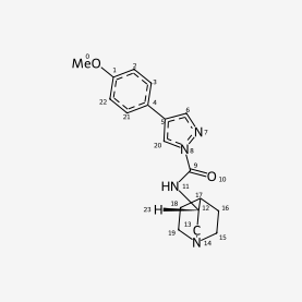 COc1ccc(-c2cnn(C(=O)N[C@H]3CN4CCC3CC4)c2)cc1